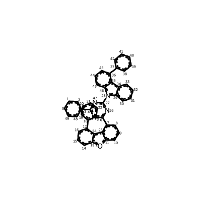 c1ccc(-c2nc(-c3cccc4oc5cccc(-c6ccccc6)c5c34)nc(-n3c4ccccc4c4c(-c5ccccc5)cccc43)n2)cc1